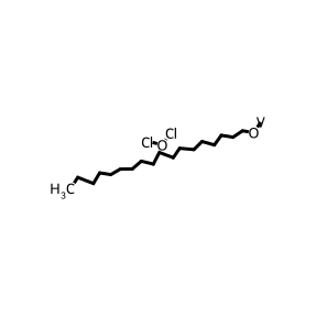 CCCCCCCCCCCCCCCCCC[O][V].ClOCl